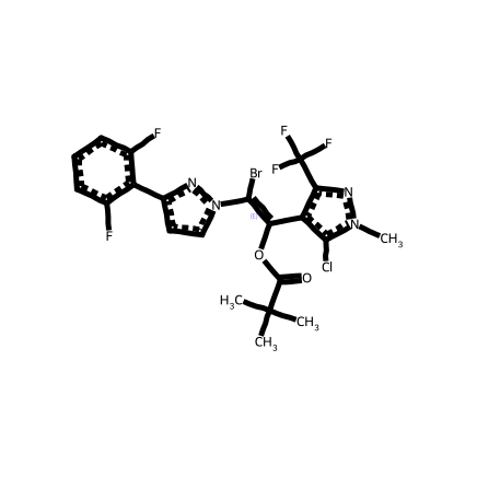 Cn1nc(C(F)(F)F)c(/C(OC(=O)C(C)(C)C)=C(\Br)n2ccc(-c3c(F)cccc3F)n2)c1Cl